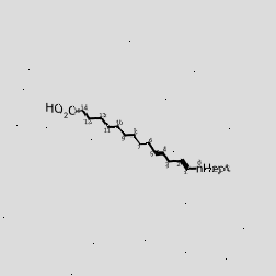 CCCCCCCC=CCC=CCCCCCCCCCC(=O)O